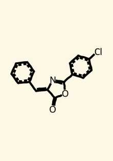 O=C1OC(c2ccc(Cl)cc2)=NC1=Cc1ccccc1